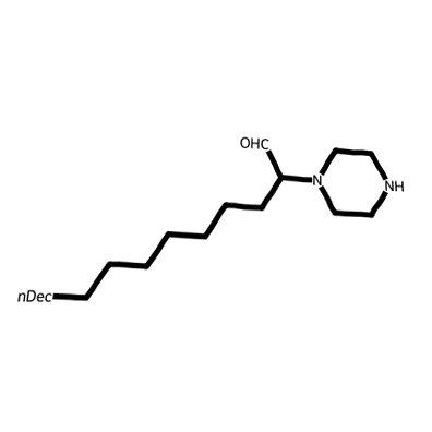 CCCCCCCCCCCCCCCCCC(C=O)N1CCNCC1